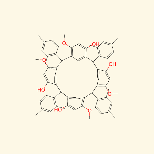 COc1cc(O)c2cc1C(c1ccc(C)cc1C)c1cc(c(O)cc1OC)C(c1ccc(C)cc1C)c1cc(c(OC)cc1O)C(c1ccc(C)cc1C)c1cc(c(O)cc1OC)C2c1ccc(C)cc1C